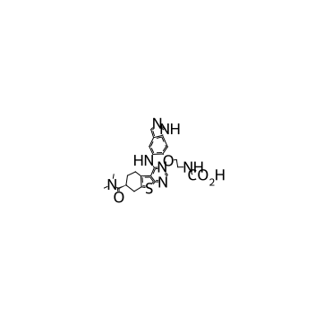 CN(C)C(=O)[C@H]1CCc2c(sc3ncnc(Nc4cc5cn[nH]c5cc4OCCNC(=O)O)c23)C1